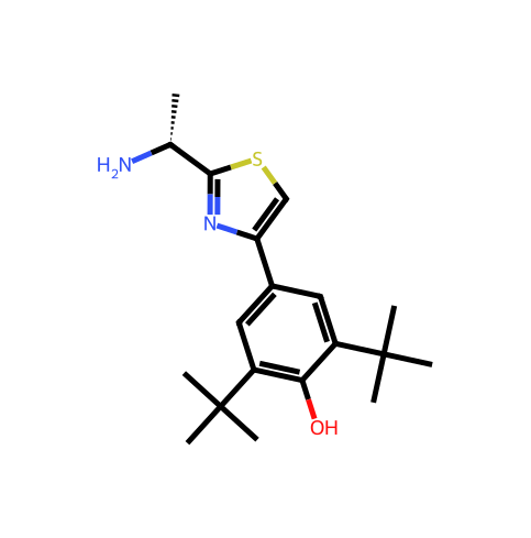 C[C@@H](N)c1nc(-c2cc(C(C)(C)C)c(O)c(C(C)(C)C)c2)cs1